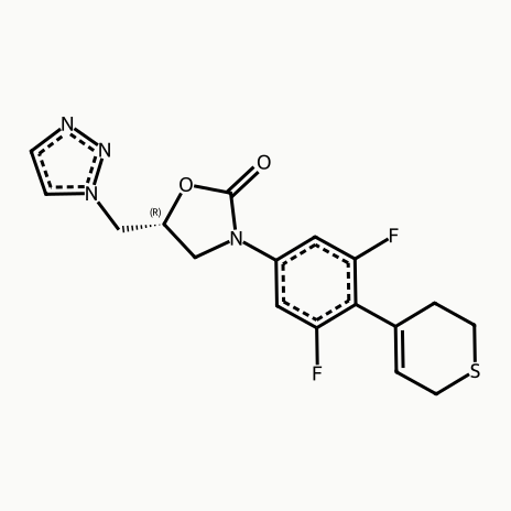 O=C1O[C@@H](Cn2ccnn2)CN1c1cc(F)c(C2=CCSCC2)c(F)c1